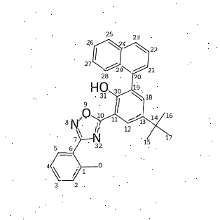 Cc1ccccc1-c1noc(-c2cc(C(C)(C)C)cc(-c3cccc4ccccc34)c2O)n1